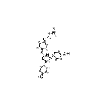 COc1ccc(-c2cc(-c3ccc(O)cc3)nc(Nc3ccc(OCCN(C)C)cc3)n2)cc1